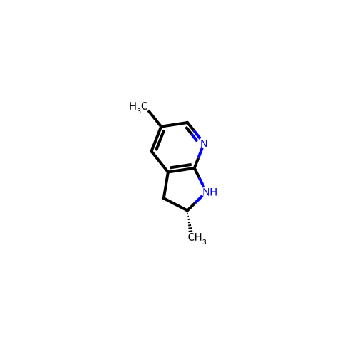 Cc1cnc2c(c1)C[C@@H](C)N2